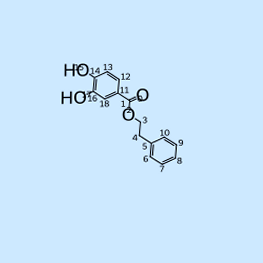 O=C(OCCc1ccccc1)c1ccc(O)c(O)c1